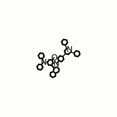 c1ccc(-c2cc(-c3ccc4c(c3)Oc3cc(N(c5ccccc5)c5ccccc5)cc5c6c7ccccc7ccc6n-4c35)cc(-c3ccccc3)n2)cc1